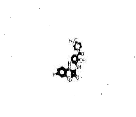 CN1CCN(C(=O)c2cccc(Nc3c(Nc4ccc(F)cc4Cl)c(=O)c3=O)c2O)CC1